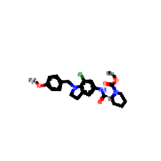 CC(C)(C)OC(=O)N1CCCC[C@@H]1C(=O)Nc1cc(Cl)c2c(c1)CCN2Cc1ccc(OC(F)(F)F)cc1